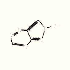 CC(C)(C)n1cc2nncnc2n1